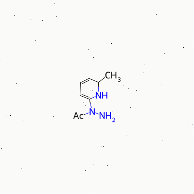 CC(=O)N(N)C1=CC=CC(C)N1